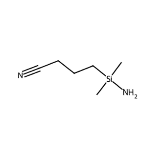 C[Si](C)(N)CCCC#N